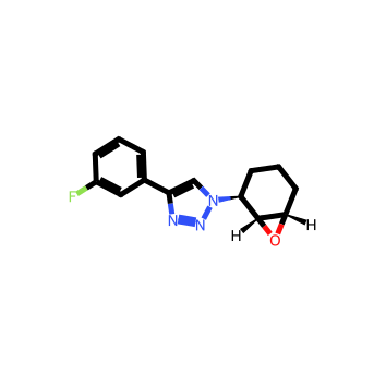 Fc1cccc(-c2cn([C@H]3CCC[C@@H]4O[C@@H]43)nn2)c1